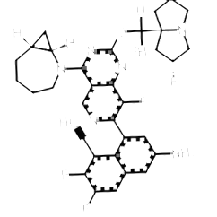 [2H]C([2H])(Oc1nc(N2CCCC[C@@H]3C[C@@H]32)c2cnc(-c3cc(N)cc4cc(F)c(F)c(C#C)c34)c(F)c2n1)[C@@]12CCCN1C[C@H](F)C2